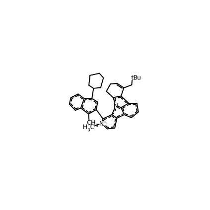 Cc1c(-c2c3c(cc[n+]2C)c2cccc4c5c(n3c42)CCC=C5CC(C)(C)C)cc(C2CCCCC2)c2ccccc12